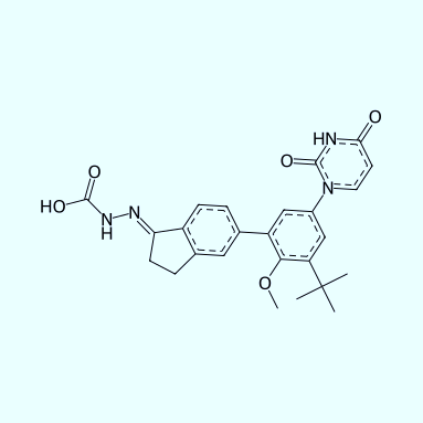 COc1c(-c2ccc3c(c2)CCC3=NNC(=O)O)cc(-n2ccc(=O)[nH]c2=O)cc1C(C)(C)C